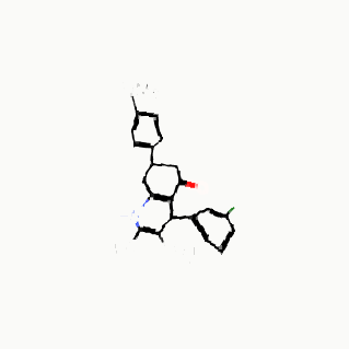 CCOC(=O)C1=C(C)NC2=C(C(=O)CC(c3ccc(OC)cc3)C2)C1c1cccc(Cl)c1